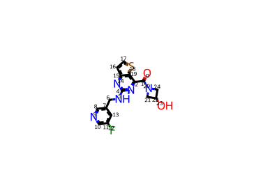 O=C(c1nc(NCc2cncc(F)c2)nc2ccsc12)N1CC(O)C1